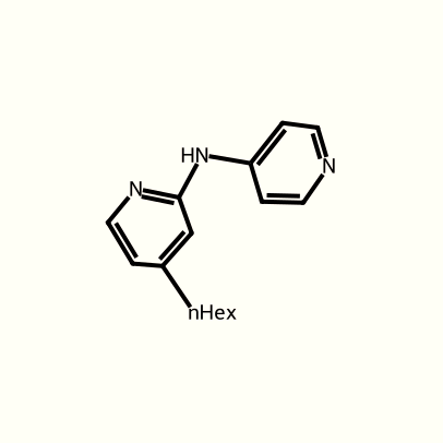 CCCCCCc1ccnc(Nc2ccncc2)c1